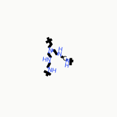 CC(C)(C)CCN(CCNCCNC(C)(C)C)CCNCCNC(C)(C)C